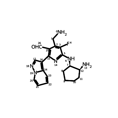 NCc1c(F)c(N[C@@H]2CCCC[C@@H]2N)nc(-c2cnn3ccccc23)c1C=O